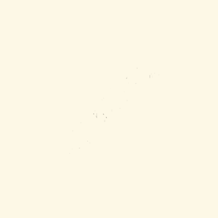 CCCC(Cl)COc1ccc(N=Nc2ccc(C(=O)O)cc2)cc1